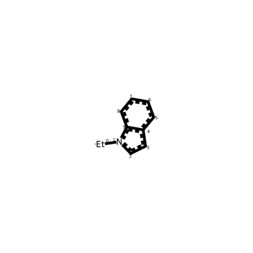 C[CH]n1ccc2ccccc21